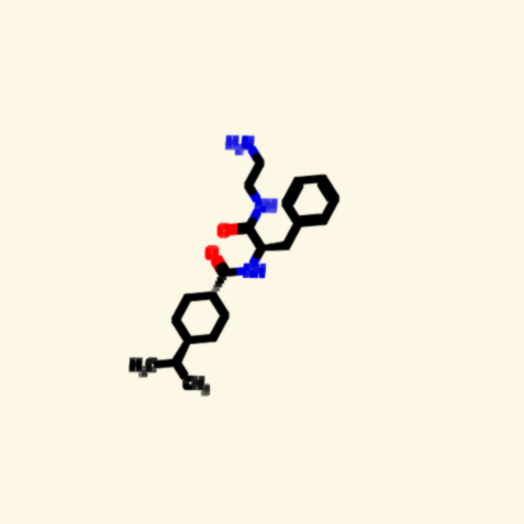 CC(C)[C@H]1CC[C@H](C(=O)N[C@H](Cc2ccccc2)C(=O)NCCN)CC1